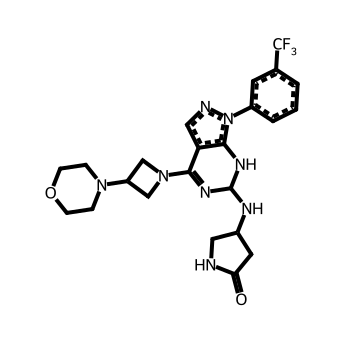 O=C1CC(NC2N=C(N3CC(N4CCOCC4)C3)c3cnn(-c4cccc(C(F)(F)F)c4)c3N2)CN1